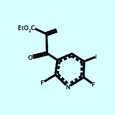 C=C(C(=O)OCC)C(=O)c1cc(I)c(F)nc1F